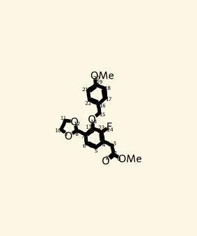 COC(=O)Cc1ccc(C2OCCO2)c(OCc2ccc(OC)cc2)c1F